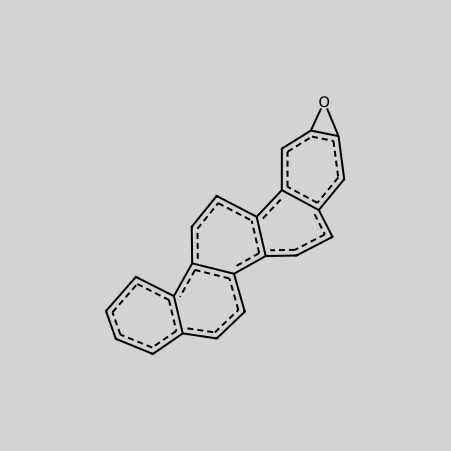 c1ccc2c(c1)ccc1c2ccc2c3cc4c(cc3ccc21)O4